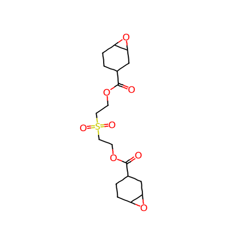 O=C(OCCS(=O)(=O)CCOC(=O)C1CCC2OC2C1)C1CCC2OC2C1